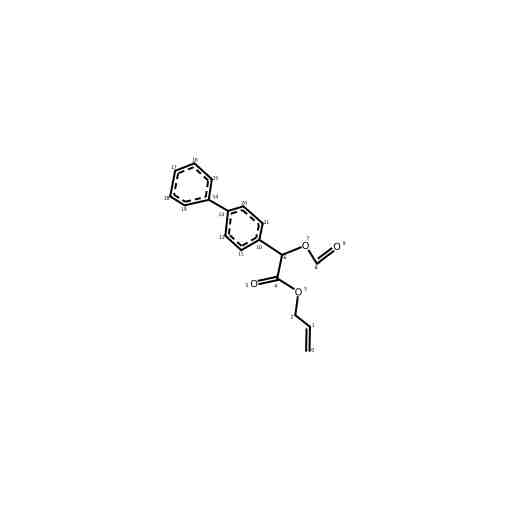 C=CCOC(=O)C(O[C]=O)c1ccc(-c2ccccc2)cc1